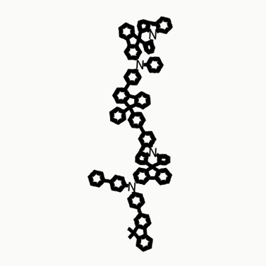 CC1(C)c2ccccc2-c2ccc(-c3ccc(N(c4ccc(-c5ccccc5)cc4)c4ccc5c(c4)-c4ccccc4C54c5ccccc5-n5c6ccc(-c7ccc(C8(c9ccccc9)c9ccccc9-c9c(-c%10ccc(N(c%11ccccc%11)c%11ccc%12c(c%11)C%11(c%13ccccc%13-%12)c%12ccccc%12-n%12c%13ccccc%13c%13cccc%11c%13%12)cc%10)cccc98)cc7)cc6c6cccc4c65)cc3)cc21